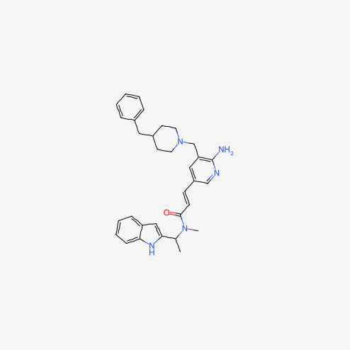 CC(c1cc2ccccc2[nH]1)N(C)C(=O)C=Cc1cnc(N)c(CN2CCC(Cc3ccccc3)CC2)c1